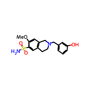 COc1cc2c(cc1S(N)(=O)=O)CCN(Cc1cccc(O)c1)C2